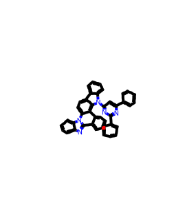 c1ccc(-c2cc(-n3c4ccccc4c4ccc5c(c6ccccc6c6nc7ccccc7n56)c43)nc(-c3ccccc3)n2)cc1